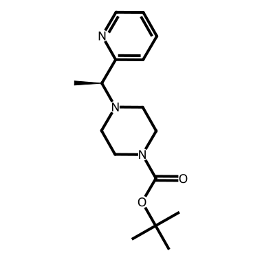 C[C@@H](c1ccccn1)N1CCN(C(=O)OC(C)(C)C)CC1